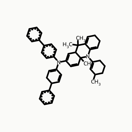 CC1C=C(N2C3=CCCC=C3C(C)(C)C3C=C(N(C4=CCC(c5ccccc5)C=C4)c4ccc(-c5ccccc5)cc4)C=CC32C)CCC1